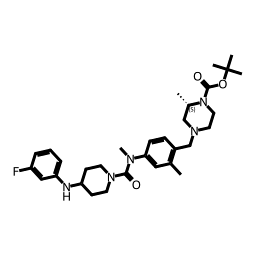 Cc1cc(N(C)C(=O)N2CCC(Nc3cccc(F)c3)CC2)ccc1CN1CCN(C(=O)OC(C)(C)C)[C@@H](C)C1